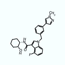 Cn1cc(-c2cccc(Cn3cc(C(=O)N[C@H]4CCCC[C@@H]4O)c4c(F)cccc43)c2)cn1